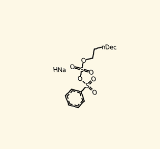 CCCCCCCCCCCCOS(=O)(=O)OS(=O)(=O)c1ccccc1.[NaH]